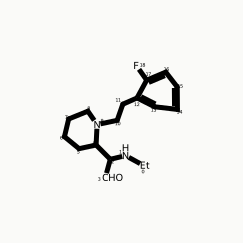 CCN[C](C=O)C1CCCCN1CCc1ccccc1F